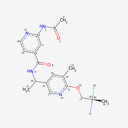 CC(=O)Nc1cc(C(=O)NC(C)c2cnc(OC[C@](C)(F)I)c(C)c2)ccn1